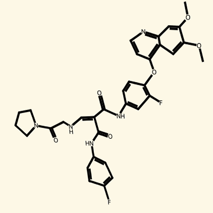 COc1cc2nccc(Oc3ccc(NC(=O)/C(=C/NCC(=O)N4CCCC4)C(=O)Nc4ccc(F)cc4)cc3F)c2cc1OC